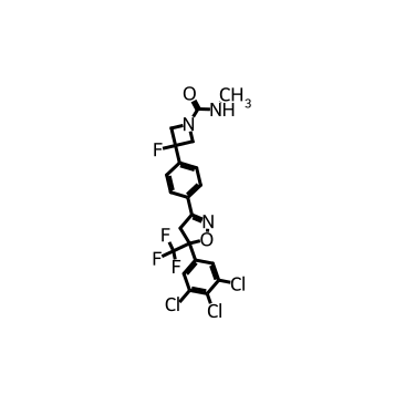 CNC(=O)N1CC(F)(c2ccc(C3=NOC(c4cc(Cl)c(Cl)c(Cl)c4)(C(F)(F)F)C3)cc2)C1